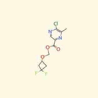 Cc1nc(C(=O)OCOC2CC(F)(F)C2)cnc1Cl